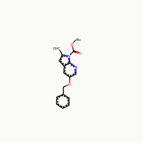 CC(C)(C)OC(=O)n1c(C=O)cc2cc(OCc3ccccc3)cnc21